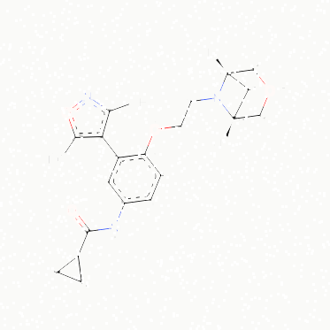 Cc1noc(C)c1-c1cc(NC(=O)C2CC2)ccc1OCCN1[C@@H]2COC[C@H]1C2